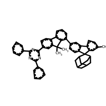 CC1(C)c2cc(-c3nc(-c4ccccc4)nc(-c4ccccc4)n3)ccc2-c2cccc(-c3ccc4c(c3)-c3ccc(C#N)cc3C43C4CC5CC(C4)CC3C5)c21